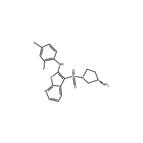 N[C@@H]1CCN(S(=O)(=O)c2c(Nc3ccc(I)cc3F)sc3ncccc23)C1